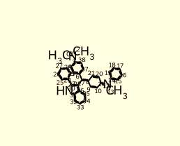 CN(C)c1ccc(C(=C2C=CC(=[N+](C)c3ccccc3)C=C2)c2c(-c3ccccc3)[nH]c3ccccc23)cc1